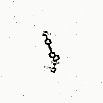 CN1CCC[C@H]1c1nc2c(ccc3cc(C#Cc4ccc(-c5cnc[nH]5)cc4)ccc32)[nH]1